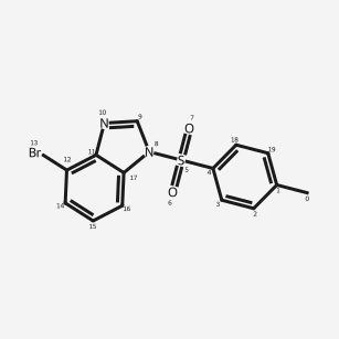 Cc1ccc(S(=O)(=O)n2cnc3c(Br)cccc32)cc1